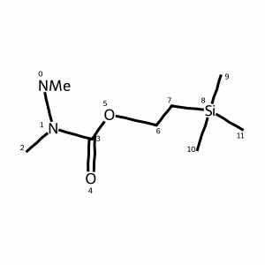 CNN(C)C(=O)OCC[Si](C)(C)C